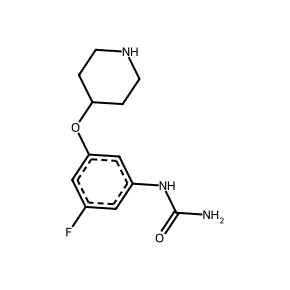 NC(=O)Nc1cc(F)cc(OC2CCNCC2)c1